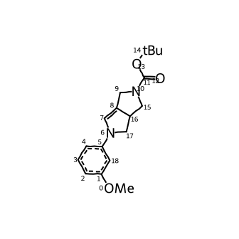 COc1cccc(N2C=C3CN(C(=O)OC(C)(C)C)CC3C2)c1